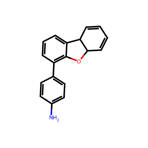 Nc1ccc(-c2cccc3c2OC2C=CC=CC32)cc1